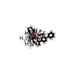 CS(=O)(=O)c1c([C@@H]2C[C@H]3CC[C@@H](C2)N3C(=O)c2nc(C(F)(F)F)n[nH]2)nc2c(-c3ccc(-c4ccccc4)nc3)cnn2c1N